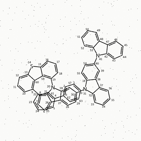 c1ccc(-c2cccc(-c3cccc4sc5cccc(-n6c7ccccc7c7ccc(-n8c9ccccc9c9cc(-n%10c%11ccccc%11c%11ccccc%11%10)ccc98)cc76)c5c34)c2)cc1